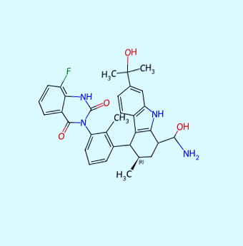 Cc1c(C2c3c([nH]c4cc(C(C)(C)O)ccc34)C(C(N)O)C[C@H]2C)cccc1-n1c(=O)[nH]c2c(F)cccc2c1=O